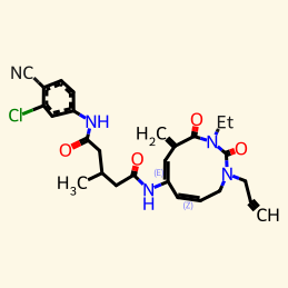 C#CCN1C/C=C\C(NC(=O)CC(C)CC(=O)Nc2ccc(C#N)c(Cl)c2)=C/C(=C)C(=O)N(CC)C1=O